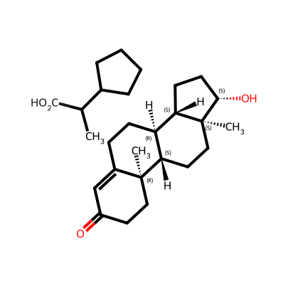 CC(C(=O)O)C1CCCC1.C[C@]12CC[C@H]3[C@@H](CCC4=CC(=O)CC[C@@]43C)[C@@H]1CC[C@@H]2O